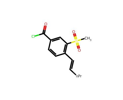 CCCC=Cc1ccc(C(=O)Cl)cc1S(C)(=O)=O